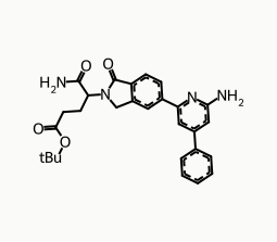 CC(C)(C)OC(=O)CCC(C(N)=O)N1Cc2cc(-c3cc(-c4ccccc4)cc(N)n3)ccc2C1=O